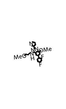 COCCCNc1nc(-c2cccnc2)nc2c(OC)cc(-c3ccc(F)cc3F)cc12